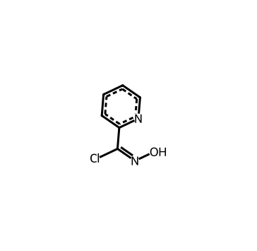 O/N=C(/Cl)c1ccccn1